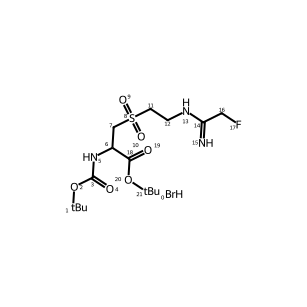 Br.CC(C)(C)OC(=O)NC(CS(=O)(=O)CCNC(=N)CF)C(=O)OC(C)(C)C